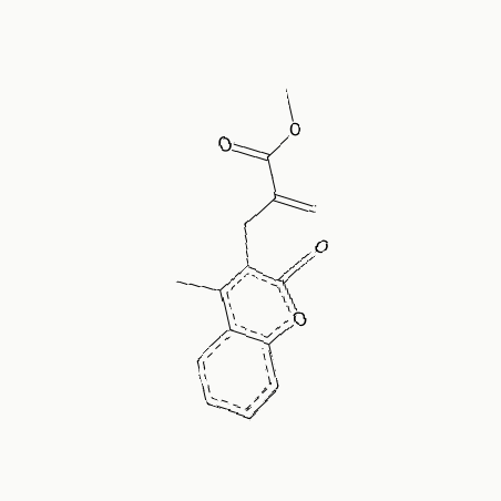 C=C(Cc1c(C)c2ccccc2oc1=O)C(=O)OC